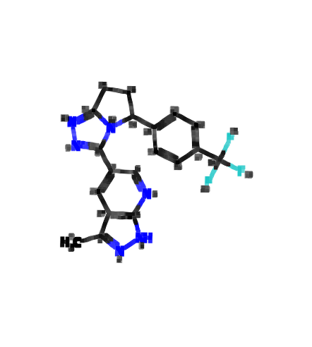 Cc1n[nH]c2ncc(-c3nnc4n3C(c3ccc(C(F)(F)F)cc3)CC4)cc12